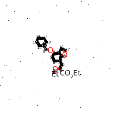 CCOC(=O)C(=Cc1ccc(OCc2ccccc2)c2ccoc12)OCC